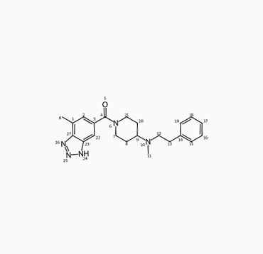 Cc1cc(C(=O)N2CCC(N(C)CCc3ccccc3)CC2)cc2[nH]nnc12